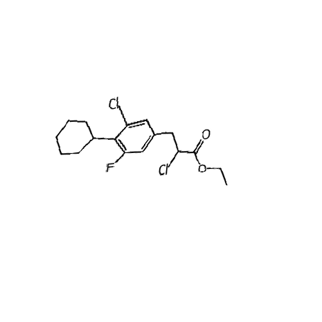 CCOC(=O)C(Cl)Cc1cc(F)c(C2CCCCC2)c(Cl)c1